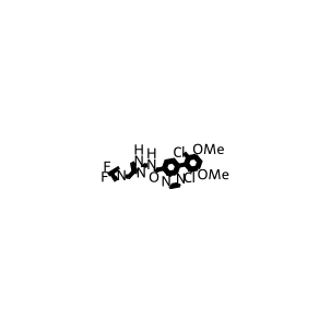 COc1cc(OC)c(Cl)c(-c2ccc(C(=O)Nc3nc(CN4CC(F)(F)C4)c[nH]3)c3nccnc23)c1Cl